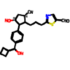 N#C[C@@H]1C[C@@H](O)C(c2ccc(C(O)C3CCC3)cc2)C1CCCc1ncc(C=O)s1